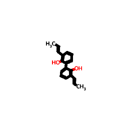 CC=Cc1cccc(-c2cccc(C=CC)c2O)c1O